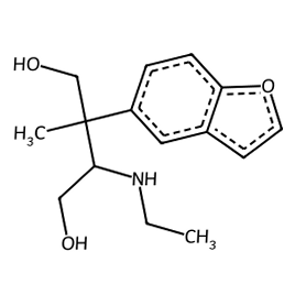 CCNC(CO)C(C)(CO)c1ccc2occc2c1